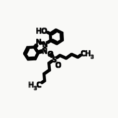 CCCCCS(=O)(=O)CCCCC.Oc1ccccc1-n1nc2ccccc2n1